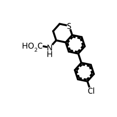 O=C(O)NC1CCSc2ccc(-c3ccc(Cl)cc3)cc21